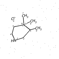 CC1CNCC[N+]1(C)C.[Cl-]